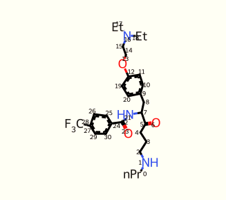 CCCNCCCC(=O)C(Cc1ccc(OCCN(CC)CC)cc1)NC(=O)c1ccc(C(F)(F)F)cc1